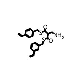 C=Cc1ccc(CSC(=O)C(CN)C(=O)SCc2cccc(C=C)c2)cc1